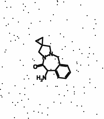 NC1C(=O)N2CC3(CC3)CN2Cc2ccccc21